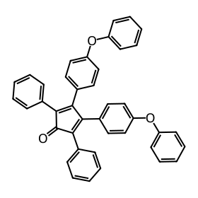 O=C1C(c2ccccc2)=C(c2ccc(Oc3ccccc3)cc2)C(c2ccc(Oc3ccccc3)cc2)=C1c1ccccc1